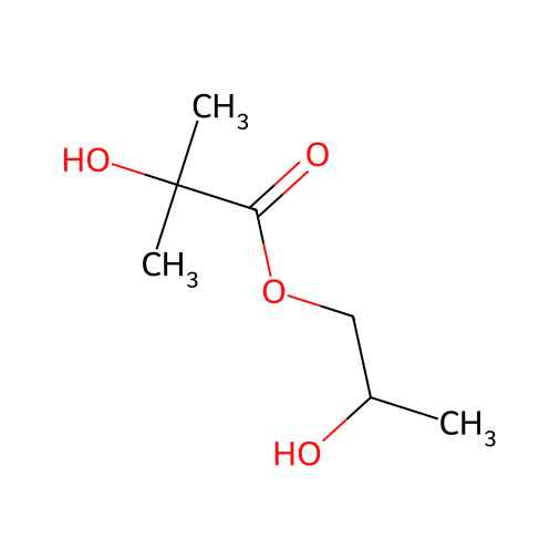 CC(O)COC(=O)C(C)(C)O